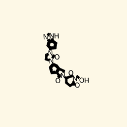 O=C1CCC(N2Cc3cc(N4CCN(c5ccc6[nH]cnc6c5)C4=O)ccc3C2=O)C(=O)N1CO